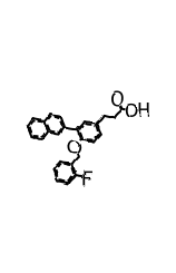 O=C(O)CCc1ccc(OCc2ccccc2F)c(-c2ccc3ccccc3c2)c1